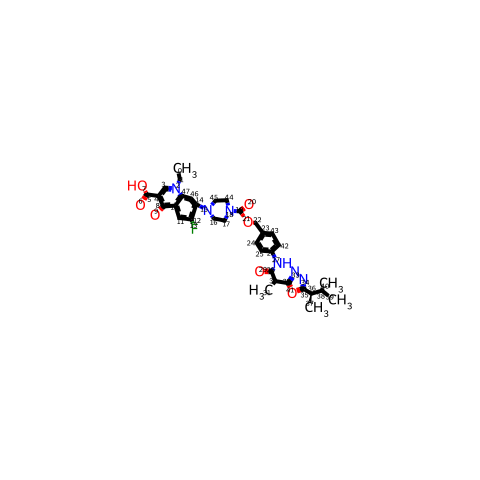 CCn1cc(C(=O)O)c(=O)c2cc(F)c(N3CCN(C(=O)OCc4ccc(NC(=O)C(C)c5nnc([C@H](C)C(C)C)o5)cc4)CC3)cc21